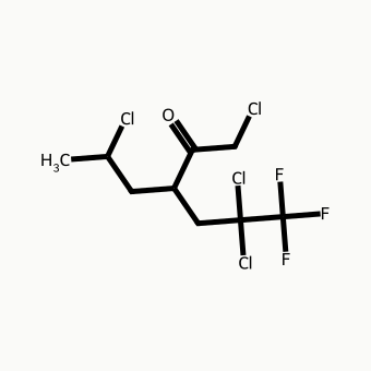 CC(Cl)CC(CC(Cl)(Cl)C(F)(F)F)C(=O)CCl